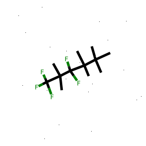 CC(C)(C)C(C)(C)C(F)(F)C(C)(C)C(F)(F)F